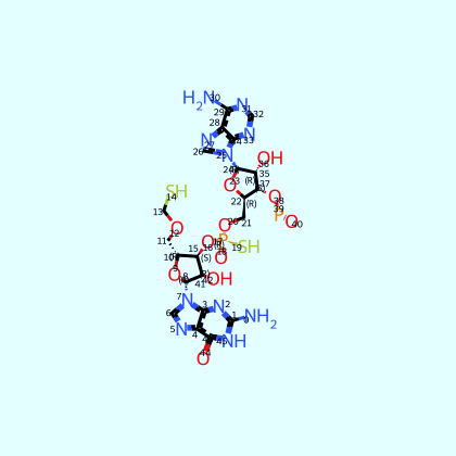 Nc1nc2c(ncn2[C@@H]2O[C@H](COCS)[C@@H](O[P@](=O)(S)OC[C@H]3O[C@@H](n4cnc5c(N)ncnc54)[C@H](O)[C@@H]3OP=O)[C@H]2O)c(=O)[nH]1